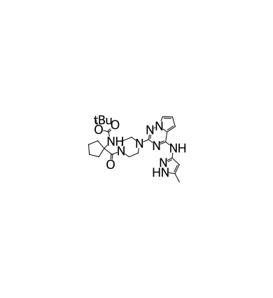 Cc1cc(Nc2nc(N3CCN(C(=O)C4(NC(=O)OC(C)(C)C)CCCC4)CC3)nn3cccc23)n[nH]1